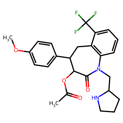 COc1ccc(C2Cc3c(cccc3C(F)(F)F)N(CC3CCCN3)C(=O)C2OC(C)=O)cc1